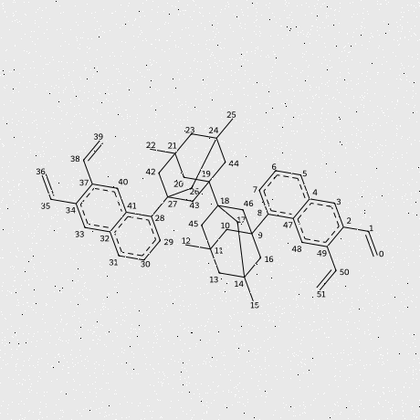 C=Cc1cc2cccc(C34CC5(C)CC(C)(C3)CC(C36CC7(C)CC(C)(CC(c8cccc9cc(C=C)c(C=C)cc89)(C7)C3)C6)(C5)C4)c2cc1C=C